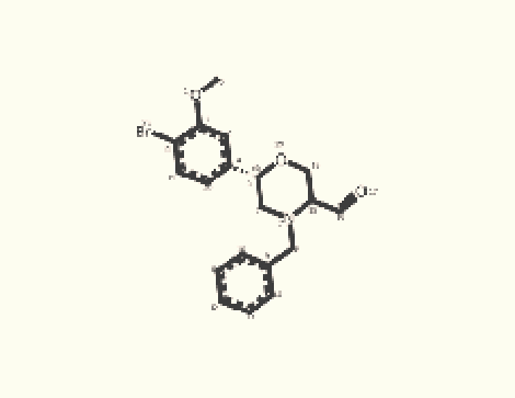 COc1cc([C@H]2CN(Cc3ccccc3)C(C=O)CO2)ccc1Br